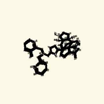 Cc1cccnc1CN(Cc1ccccn1)CC1CCC(C23C[C@@H]4[C@H](C)CC[C@H]4C4(C=O)CC2C=C(C(C)C)C34C(=O)O)O1